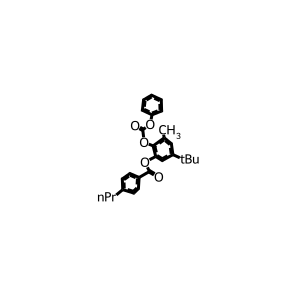 CCCc1ccc(C(=O)Oc2cc(C(C)(C)C)cc(C)c2OC(=O)Oc2ccccc2)cc1